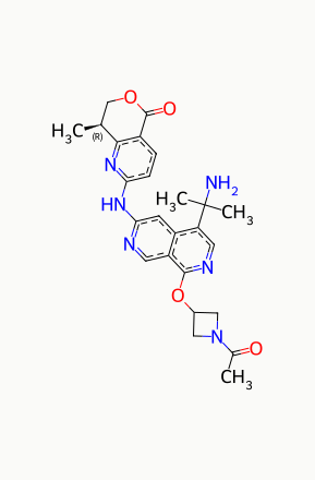 CC(=O)N1CC(Oc2ncc(C(C)(C)N)c3cc(Nc4ccc5c(n4)[C@@H](C)COC5=O)ncc23)C1